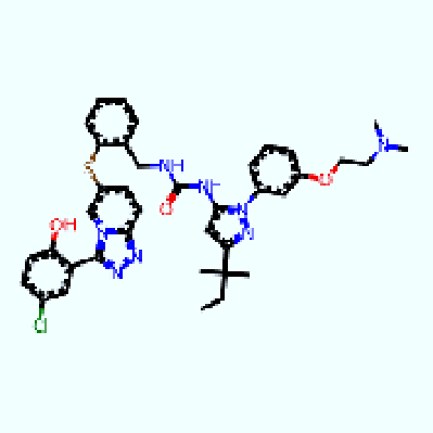 CCC(C)(C)c1cc(NC(=O)NCc2ccccc2Sc2ccc3nnc(-c4cc(Cl)ccc4O)n3c2)n(-c2cccc(OCCN(C)C)c2)n1